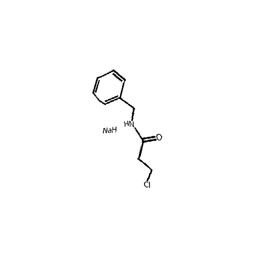 O=C(CCCl)NCc1ccccc1.[NaH]